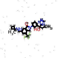 CC[C@](O)(c1cccc(N2Cc3c(cc(CNC4(C)CCC4)cc3C(F)(F)F)C2=O)c1)c1nncn1C